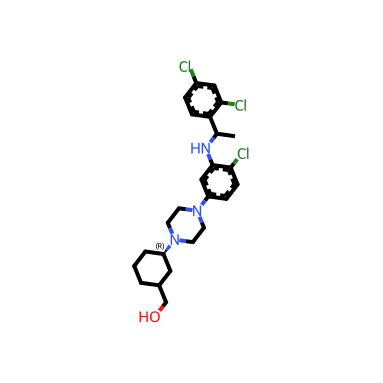 CC(Nc1cc(N2CCN([C@@H]3CCCC(CO)C3)CC2)ccc1Cl)c1ccc(Cl)cc1Cl